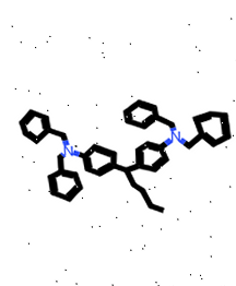 CCCCC(c1ccc(N(Cc2ccccc2)Cc2ccccc2)cc1)c1ccc(N(Cc2ccccc2)Cc2ccccc2)cc1